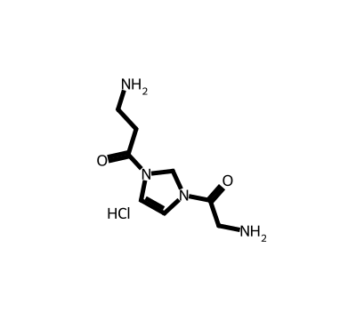 Cl.NCCC(=O)N1C=CN(C(=O)CN)C1